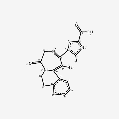 Cc1nc(C(=O)O)cn1C1=NCC(=O)N2CCc3ccccc3C2=C1I